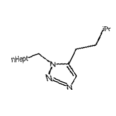 CCCCCCCCn1nncc1CCC(C)C